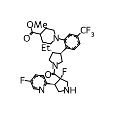 CC[C@H]1CN(C(=O)[C@]2(F)CNC[C@H]2c2ccc(F)cn2)C[C@@H]1c1ccc(C(F)(F)F)cc1N1CCC(C(=O)OC)CC1